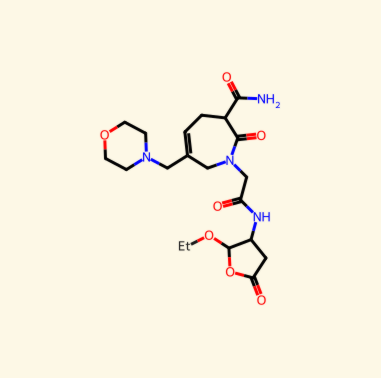 CCOC1OC(=O)CC1NC(=O)CN1CC(CN2CCOCC2)=CCC(C(N)=O)C1=O